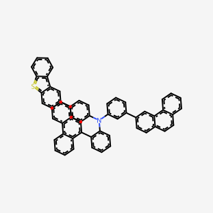 c1cc(-c2ccc3ccc4ccccc4c3c2)cc(N(c2ccc(-c3ccc4sc5ccccc5c4c3)cc2)c2ccccc2-c2cc3ccccc3c3ccccc23)c1